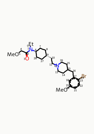 CCN(C(=O)COC)[C@H]1CC[C@H](CCN2CCC(Cc3cc(OC)ccc3Br)CC2)CC1